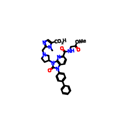 COC(=O)CNC(=O)c1ccc2c(n1)n(C1CCN(Cc3ncc(C(=O)O)n3C)C1)c(=O)n2-c1ccc(-c2ccccc2)cc1